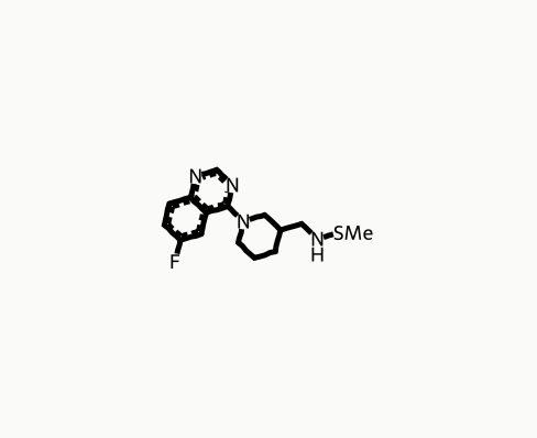 CSNCC1CCCN(c2ncnc3ccc(F)cc23)C1